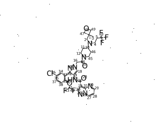 CC1(CN(CCC(F)(F)F)C2CCN(C(=O)Cn3cc(NC(=O)c4cnn5cccnc45)c(-c4cc(Cl)ccc4OC(F)F)n3)CC2)COC1